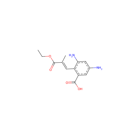 CCOC(=O)C(C)=Cc1c(N)cc(N)cc1C(=O)O